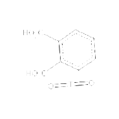 O=C(O)c1ccccc1C(=O)O.[O]=[Ti]=[O]